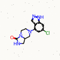 O=C1NCC2CN(c3cc(Cl)cc4[nH]ncc34)CCN12